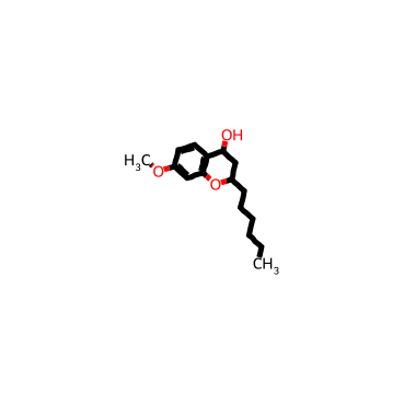 CCCCCCC1CC(O)c2ccc(OC)cc2O1